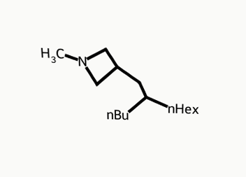 CCCCCCC(CCCC)CC1CN(C)C1